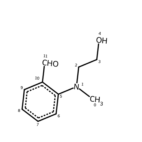 CN(CCO)c1ccccc1C=O